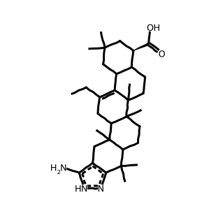 CCC1=C2C3CC(C)(C)C[C@@H](C(=O)O)C3CCC2(C)C2(C)CCC3C(C)(C)c4n[nH]c(N)c4CC3(C)C2C1